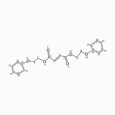 O=C(C=CC(=O)OCCOc1ccccc1)OCCOc1ccccc1